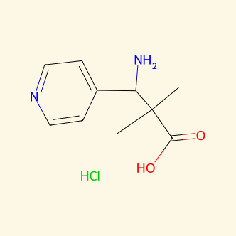 CC(C)(C(=O)O)C(N)c1ccncc1.Cl